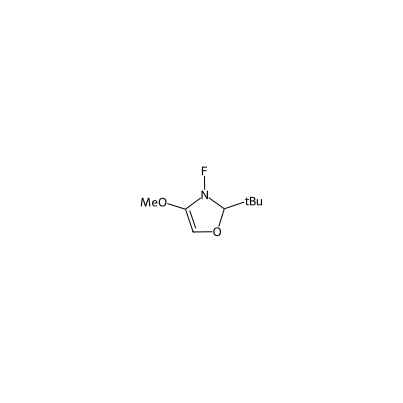 COC1=COC(C(C)(C)C)N1F